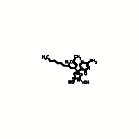 CCCCCCCCC(C=C(C)C)[C@]1(n2cnc(N)nc2=O)C[C@H](O)[C@@H](CO)O1